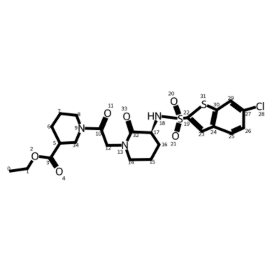 CCOC(=O)C1CCCN(C(=O)CN2CCC[C@H](NS(=O)(=O)c3cc4ccc(Cl)cc4s3)C2=O)C1